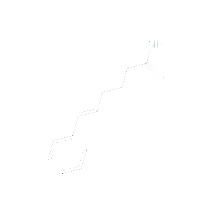 [NH]C(=O)CCC/C=C/c1ccccc1